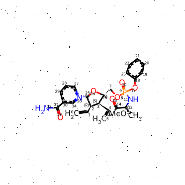 C=C[C@@H]1[C@H](C=C)[C@@H](COP(=O)(N[C@@H](C)C(=O)OC)Oc2ccccc2)O[C@H]1[n+]1cccc(C(N)=O)c1